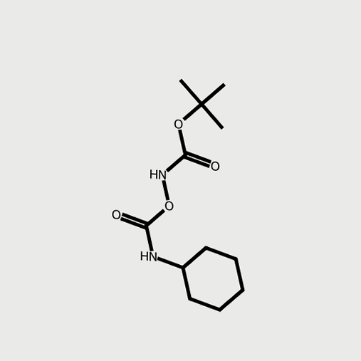 CC(C)(C)OC(=O)NOC(=O)NC1CCCCC1